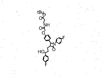 CC(C)(C)OC(=O)CCNC(=O)COc1ccc(C2C(CC[C@H](O)c3ccc(F)cc3)C(=O)N2c2ccc(F)cc2)cc1